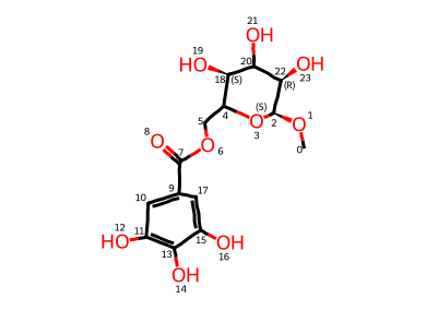 CO[C@H]1OC(COC(=O)c2cc(O)c(O)c(O)c2)[C@@H](O)C(O)[C@H]1O